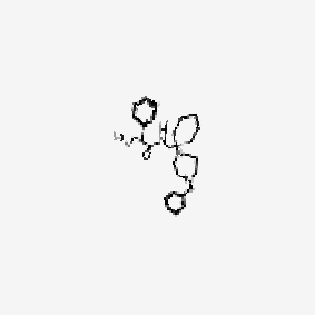 CC(C(=O)NCC1(N2CCN(Cc3ccccc3)CC2)CCCCC1)c1ccccc1